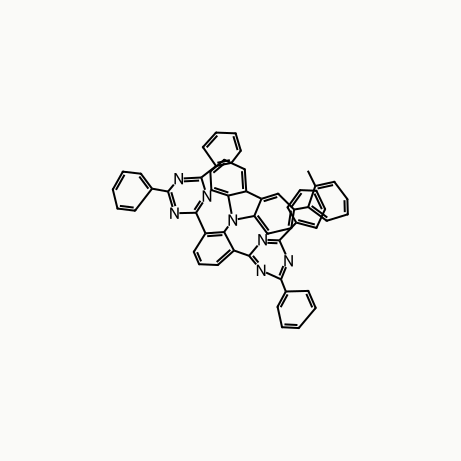 Cc1ccccc1-c1ccc2c(c1)c1ccccc1n2-c1c(-c2nc(-c3ccccc3)nc(-c3ccccc3)n2)cccc1-c1nc(-c2ccccc2)nc(-c2ccccc2)n1